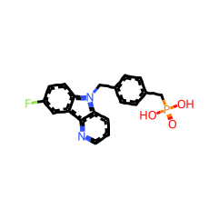 O=P(O)(O)Cc1ccc(Cn2c3ccc(F)cc3c3ncccc32)cc1